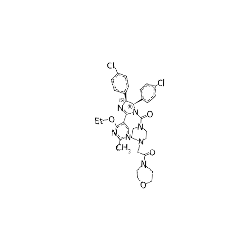 CCOc1nc(C)ncc1C1=N[C@@H](c2ccc(Cl)cc2)[C@@H](c2ccc(Cl)cc2)N1C(=O)N1CCN(CC(=O)N2CCOCC2)CC1